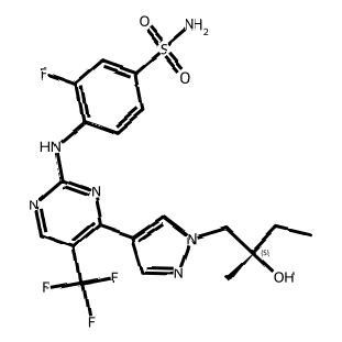 CC[C@](C)(O)Cn1cc(-c2nc(Nc3ccc(S(N)(=O)=O)cc3F)ncc2C(F)(F)F)cn1